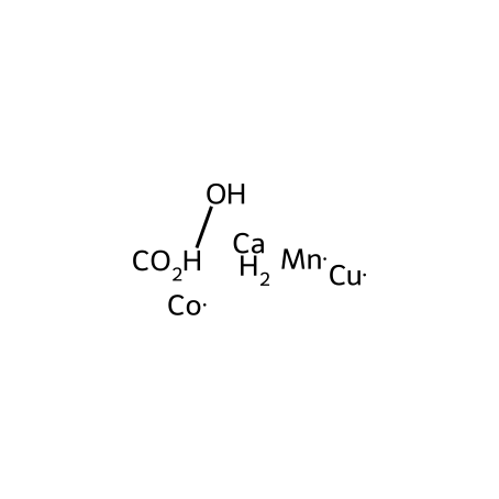 O=C(O)O.[CaH2].[Co].[Cu].[Mn]